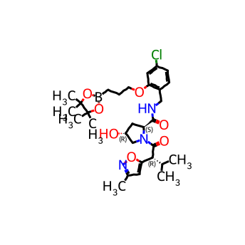 Cc1cc([C@H](C(=O)N2C[C@H](O)C[C@H]2C(=O)NCc2ccc(Cl)cc2OCCCB2OC(C)(C)C(C)(C)O2)C(C)C)on1